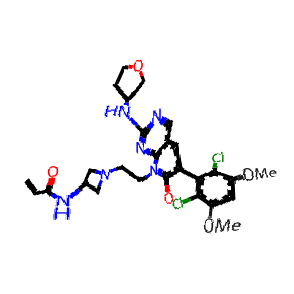 C=CC(=O)NC1CN(CCn2c(=O)c(-c3c(Cl)c(OC)cc(OC)c3Cl)cc3cnc(NC4CCOC4)nc32)C1